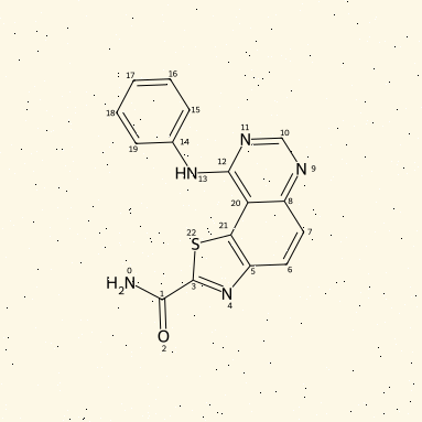 NC(=O)c1nc2ccc3ncnc(Nc4ccccc4)c3c2s1